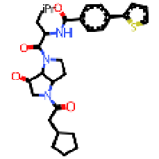 CC(C)CC(NC(=O)c1ccc(-c2cccs2)cc1)C(=O)N1CCC2C1C(=O)CN2C(=O)CC1CCCC1